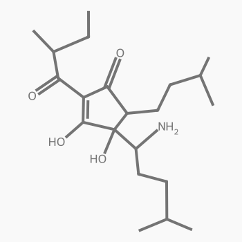 CCC(C)C(=O)C1=C(O)C(O)(C(N)CCC(C)C)C(CCC(C)C)C1=O